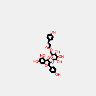 O=C(/C=C/c1ccc(O)cc1)OCC1O[C@@H](Oc2c(-c3ccc(O)cc3)oc3cc(O)cc(O)c3c2=O)C(O)C(O)[C@@H]1O